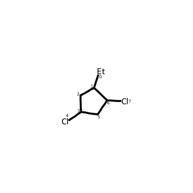 [CH2]CC1CC(Cl)CC1Cl